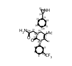 CC(=O)C1=C(C)N(c2cccc(C(F)(F)F)c2)C(=O)N(CC(N)=O)[C@@H]1c1ccc(C2CN2)cc1